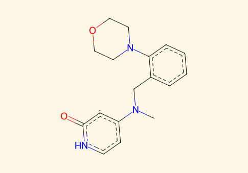 CN(Cc1ccccc1N1CCOCC1)c1[c]c(=O)[nH]cc1